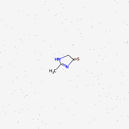 CC1=NC(=S)CN1